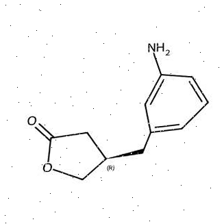 Nc1cccc(C[C@H]2COC(=O)C2)c1